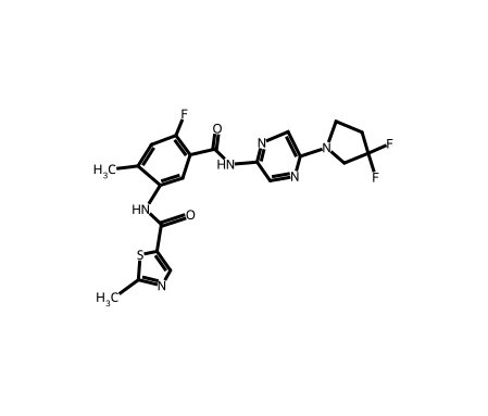 Cc1ncc(C(=O)Nc2cc(C(=O)Nc3cnc(N4CCC(F)(F)C4)cn3)c(F)cc2C)s1